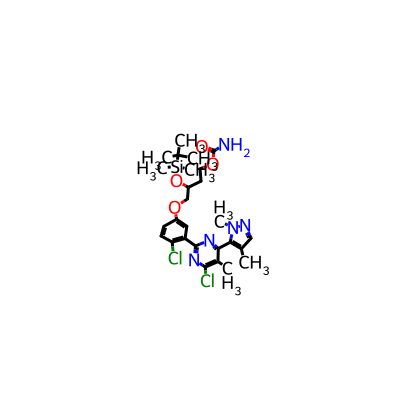 Cc1cnn(C)c1-c1nc(-c2cc(OCC(CCOC(N)=O)O[Si](C)(C)C(C)(C)C)ccc2Cl)nc(Cl)c1C